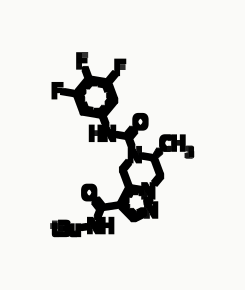 C[C@H]1Cn2ncc(C(=O)NC(C)(C)C)c2CN1C(=O)Nc1cc(F)c(F)c(F)c1